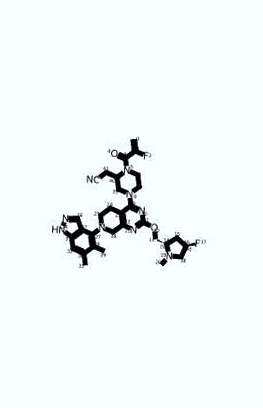 C=C(F)C(=O)N1CCN(c2nc(OC[C@@H]3C[C@@H](F)CN3C)nc3c2CCN(c2c(C)c(C)cc4[nH]ncc24)C3)CC1CC#N